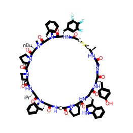 CCCC[C@H]1C(=O)N2CCC[C@@H]2C(=O)N2CC[C@H]2C(=O)N[C@@H](C(C)C)C(=O)N(C)[C@@H](Cc2ccccc2)C(=O)NCC(=O)N2CCCC[C@@H]2C(=O)N[C@@H](Cc2c[nH]c3ccccc23)C(=O)N[C@@H](Cc2ccc(O)cc2)C(=O)NCC(=O)N[C@H](C)CSCC(=O)N[C@@H](Cc2cc(F)c(F)c(F)c2)C(=O)N(C)[C@@H](Cc2ccccc2)C(=O)N1C